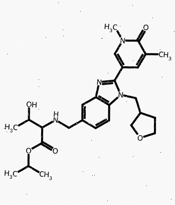 Cc1cc(-c2nc3cc(CNC(C(=O)OC(C)C)C(C)O)ccc3n2CC2CCOC2)cn(C)c1=O